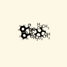 CC(C)C(CO)C(C(C)C)C(CO)C(C)C.O=C(O)c1ccccc1.O=C(O)c1ccccc1